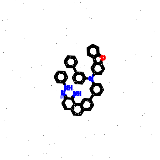 N=C1/C(=N\Nc2ccccc2)C=Cc2ccc3ccc(-c4cccc(N(c5cccc(-c6ccccc6)c5)c5ccc6oc7ccccc7c6c5)c4)cc3c21